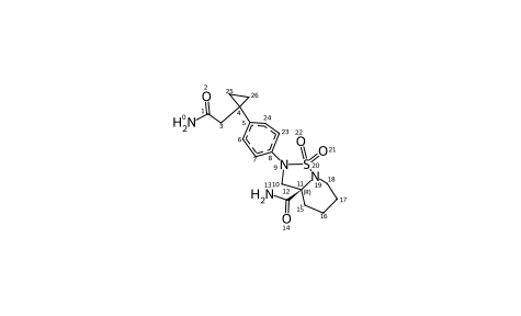 NC(=O)CC1(c2ccc(N3C[C@@]4(C(N)=O)[CH]CCCN4S3(=O)=O)cc2)CC1